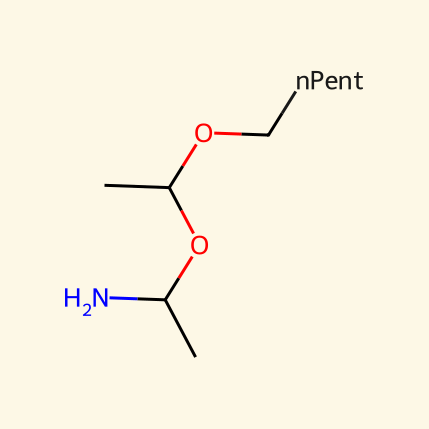 CCCCCCOC(C)OC(C)N